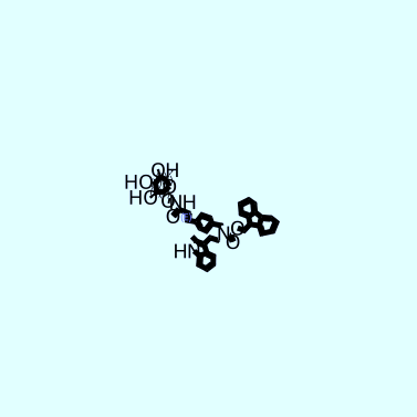 Cc1[nH]c2ccccc2c1CCN(Cc1ccc(/C=C/C(=O)NO[C@@H]2O[C@@H](C)[C@H](O)[C@@H](O)[C@@H]2O)cc1)C(=O)OCC1c2ccccc2-c2ccccc21